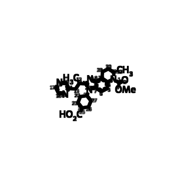 COC(=O)N1c2ccc3c(nc([C@H](C)Cc4cnccn4)n3C3CCC(C(=O)O)CC3)c2CC[C@@H]1C